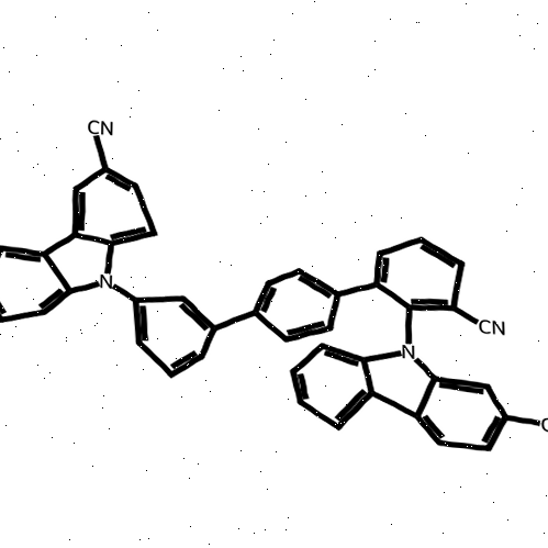 N#Cc1ccc2c(c1)c1ccccc1n2-c1cccc(-c2ccc(-c3cccc(C#N)c3-n3c4ccccc4c4ccc(C#N)cc43)cc2)c1